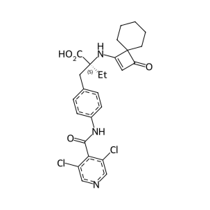 CC[C@@](Cc1ccc(NC(=O)c2c(Cl)cncc2Cl)cc1)(NC1=CC(=O)C12CCCCC2)C(=O)O